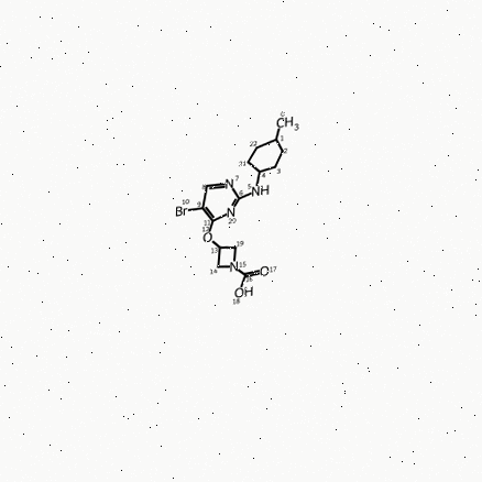 CC1CCC(Nc2ncc(Br)c(OC3CN(C(=O)O)C3)n2)CC1